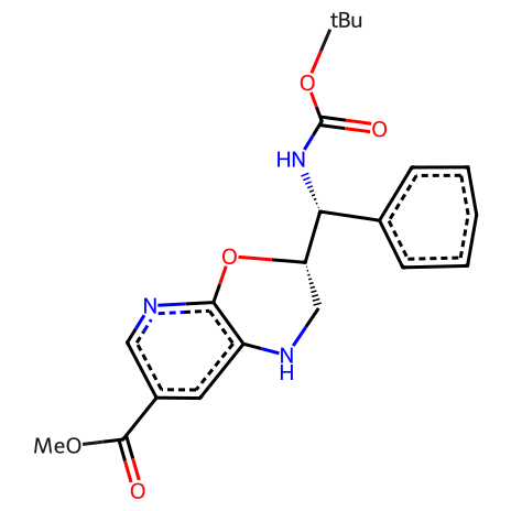 COC(=O)c1cnc2c(c1)NC[C@@H]([C@H](NC(=O)OC(C)(C)C)c1ccccc1)O2